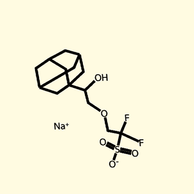 O=S(=O)([O-])C(F)(F)COCC(O)C12CC3CC(CC(C3)C1)C2.[Na+]